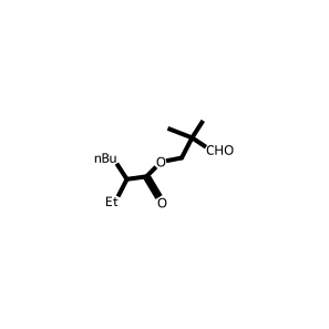 CCCCC(CC)C(=O)OCC(C)(C)C=O